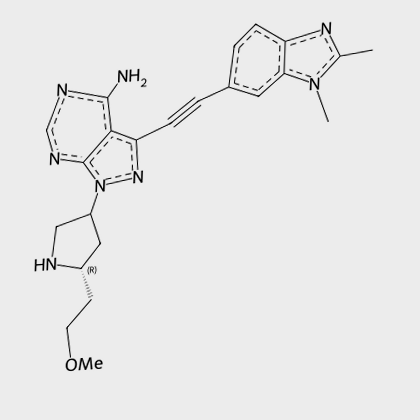 COCC[C@H]1CC(n2nc(C#Cc3ccc4nc(C)n(C)c4c3)c3c(N)ncnc32)CN1